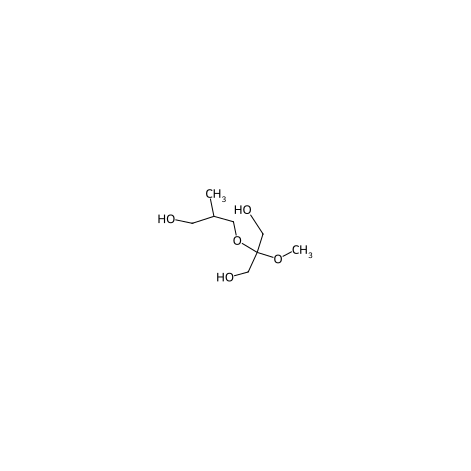 COC(CO)(CO)OCC(C)CO